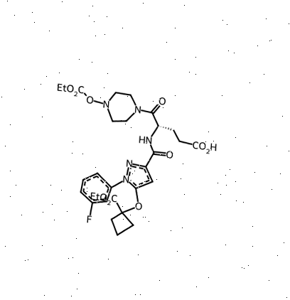 CCOC(=O)ON1CCN(C(=O)[C@H](CCC(=O)O)NC(=O)c2cc(OC3(C(=O)OCC)CCC3)n(-c3cccc(F)c3)n2)CC1